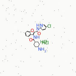 Cl.Cl.N[C@H]1CC[C@H](C(=O)Nc2c(C(=O)Nc3ccc(Cl)cn3)oc3ccccc23)CC1